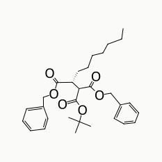 CCCCCCC[C@@H](C(=O)OCc1ccccc1)C(C(=O)OCc1ccccc1)C(=O)OC(C)(C)C